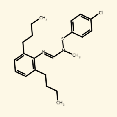 CCCCc1cccc(CCCC)c1N=CN(C)Sc1ccc(Cl)cc1